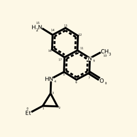 CCC1CC1Nc1cc(=O)n(C)c2ccc(N)cc12